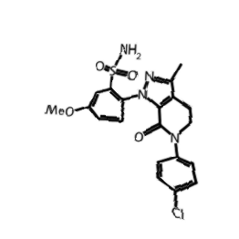 COc1ccc(-n2nc(C)c3c2C(=O)N(c2ccc(Cl)cc2)CC3)c(S(N)(=O)=O)c1